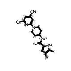 Cc1[nH]c(C(=O)NC2CCN(c3cc(C#N)cc(Cl)n3)CC2)cc1Br